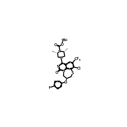 C[C@@H]1CN(c2nc(=O)n3c4c(c(Cl)c(C(F)(F)F)cc24)SC[C@@H](Oc2ccc(F)cc2)C3)C[C@H](C)N1C(=O)OC(C)(C)C